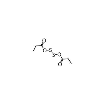 CCC(=O)OSSOC(=O)CC